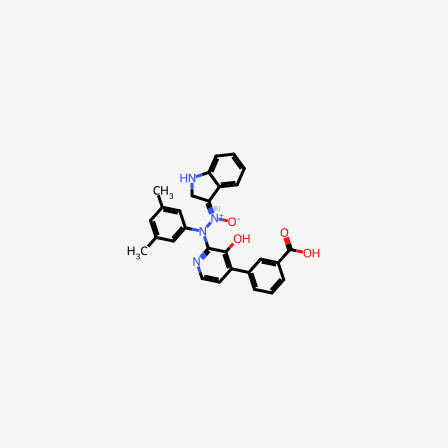 Cc1cc(C)cc(N(c2nccc(-c3cccc(C(=O)O)c3)c2O)/[N+]([O-])=C2\CNc3ccccc32)c1